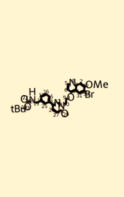 COc1cc2nccc(OCCn3nc(-c4cccc(CNC(=O)OC(C)(C)C)c4)ccc3=O)c2cc1Br